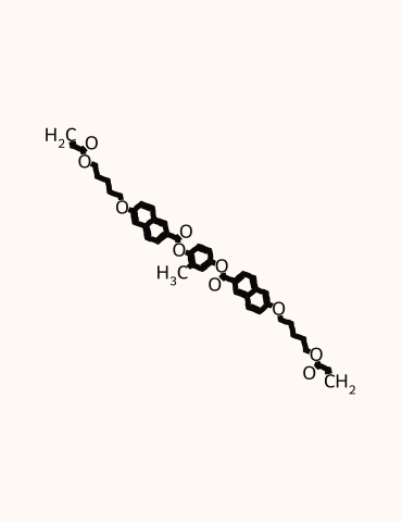 C=CC(=O)OCCCCCOc1ccc2cc(C(=O)Oc3ccc(OC(=O)c4ccc5cc(OCCCCCOC(=O)C=C)ccc5c4)c(C)c3)ccc2c1